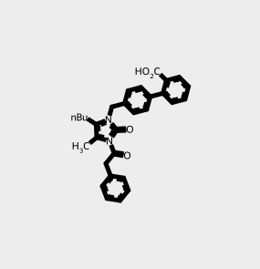 CCCCc1c(C)n(C(=O)Cc2ccccc2)c(=O)n1Cc1ccc(-c2ccccc2C(=O)O)cc1